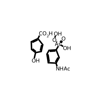 CC(=O)Nc1cccc([As](=O)(O)OO)c1.O=C(O)c1ccc(O)cc1